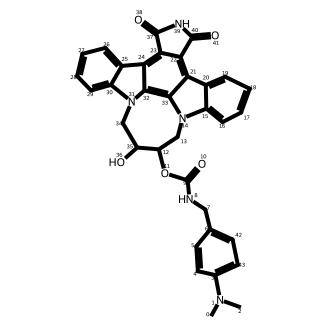 CN(C)c1ccc(CNC(=O)OC2Cn3c4ccccc4c4c5c(c6c7ccccc7n(c6c43)CC2O)C(=O)NC5=O)cc1